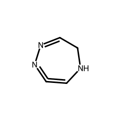 C1=CNCC=NN=1